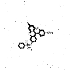 COc1ccc(-c2c3ccc(=O)cc-3oc3cc(OC(c4ccccc4)(C(F)(F)F)C(F)(F)F)ccc23)c(C)c1